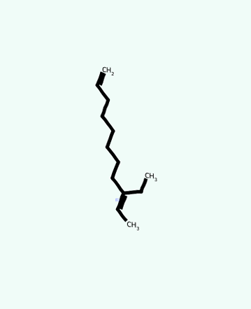 C=CCCCCCC/C(=C/C)CC